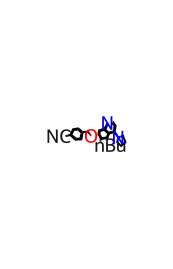 CCCCc1cc2c(N3CCCC3)ccnc2cc1OCc1ccc(C#N)cc1